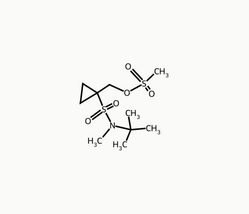 CN(C(C)(C)C)S(=O)(=O)C1(COS(C)(=O)=O)CC1